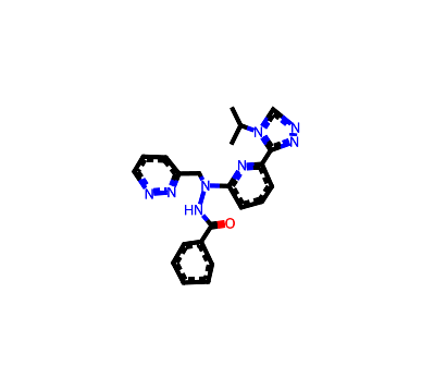 CC(C)n1cnnc1-c1cccc(N(Cc2cccnn2)NC(=O)c2ccccc2)n1